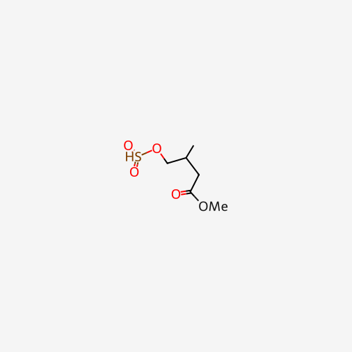 COC(=O)CC(C)CO[SH](=O)=O